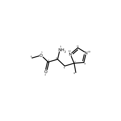 COC(=O)C(N)CC1(C)C=NC=N1